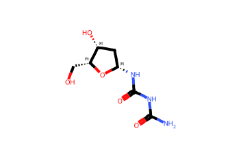 NC(=O)NC(=O)N[C@H]1C[C@@H](O)[C@@H](CO)O1